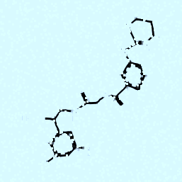 O=C(CNC(=O)c1cccc(NC2=NCCCN2)c1)NCC(C(=O)O)c1cc(Cl)cc(Br)c1